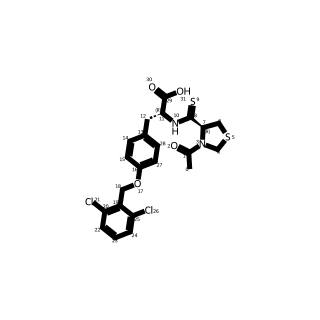 CC(=O)N1CSC[C@@H]1C(=S)N[C@H](Cc1ccc(OCc2c(Cl)cccc2Cl)cc1)C(=O)O